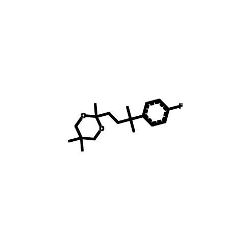 CC1(C)COC(C)(CCC(C)(C)c2ccc(F)cc2)OC1